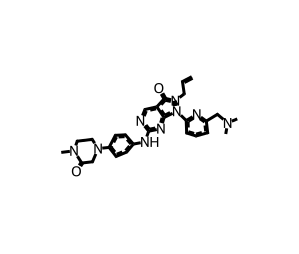 C=CCn1c(=O)c2cnc(Nc3ccc(N4CCN(C)C(=O)C4)cc3)nc2n1-c1cccc(CN(C)C)n1